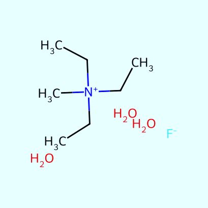 CC[N+](C)(CC)CC.O.O.O.[F-]